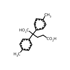 Cc1ccc(C(CCC(=O)O)(C(=O)O)c2ccc(C)cc2)cc1